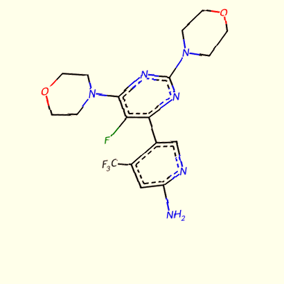 Nc1cc(C(F)(F)F)c(-c2nc(N3CCOCC3)nc(N3CCOCC3)c2F)cn1